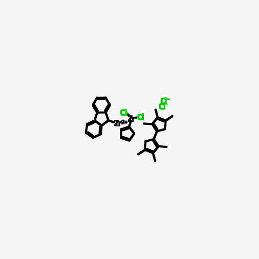 CC1=C(C)C(C)=C(C2=C(C)C(C)=C(C)C2)C1.[Cl-].[Cl-].[Cl][Zr]([Cl])[C]1=CC=CC1.[Zr+2][CH]1c2ccccc2-c2ccccc21